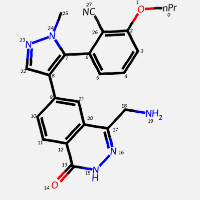 CCCOc1cccc(-c2c(-c3ccc4c(=O)[nH]nc(CN)c4c3)cnn2C)c1C#N